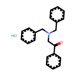 Cl.O=C(CN(Cc1ccccc1)Cc1ccccc1)c1ccccc1